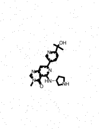 Cn1cnc2cc(-c3ccc(C(C)(C)O)nc3)nc(N[C@@H]3CCNC3)c2c1=O